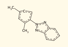 Cc1ccc(-n2nc3ccccc3n2)c(C)c1